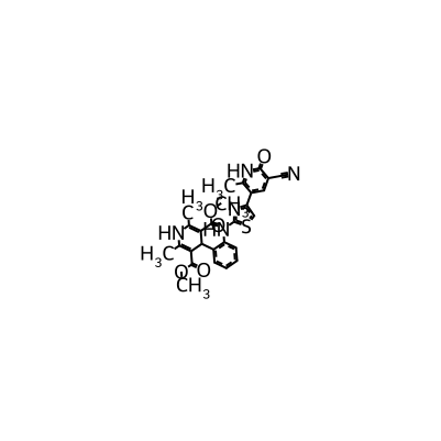 COC(=O)C1=C(C)NC(C)=C(C(=O)OC)C1c1ccccc1Nc1nc(-c2cc(C#N)c(=O)[nH]c2C)cs1